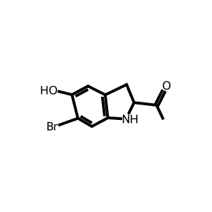 CC(=O)C1Cc2cc(O)c(Br)cc2N1